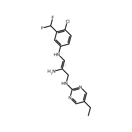 CCc1cnc(NC/C(N)=C/Nc2ccc(Cl)c(C(F)F)c2)nc1